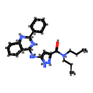 CCCN(CCC)C(=O)c1cc(Nc2nc(-c3ccccc3)nc3ccccc23)[nH]n1